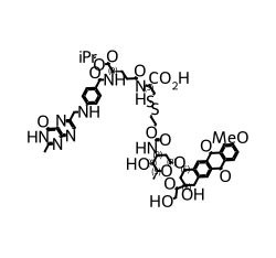 COc1cccc2c1C(=O)c1cc3c(cc1C2=O)C[C@@](O)(C(=O)CO)C[C@@H]3O[C@H]1C[C@@H](NC(=O)OCCSSC[C@@H](NC(=O)CC[C@@H](NC(=O)c2ccc(NCc3cnc4nc(C)[nH]c(=O)c4n3)cc2)C(=O)OC(C)C)C(=O)O)[C@H](O)[C@H](C)O1